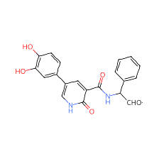 O=[C]C(NC(=O)c1cc(-c2ccc(O)c(O)c2)c[nH]c1=O)c1ccccc1